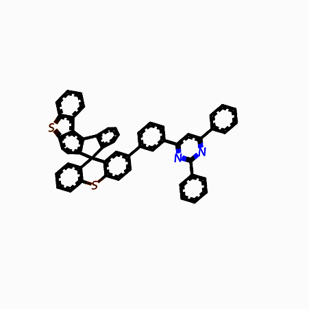 c1ccc(-c2cc(-c3cccc(-c4ccc5c(c4)C4(c6ccccc6S5)c5ccccc5-c5c4ccc4sc6ccccc6c54)c3)nc(-c3ccccc3)n2)cc1